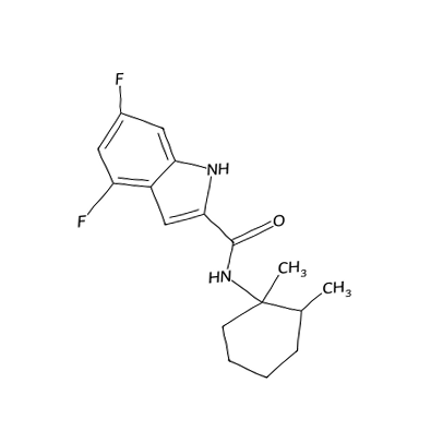 CC1CCCCC1(C)NC(=O)c1cc2c(F)cc(F)cc2[nH]1